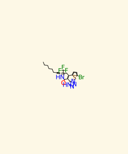 CCCCCCC#C[C@]1(C(F)(F)F)CC(c2ccc(Br)s2)=C(c2nnn[nH]2)C(=O)N1